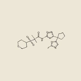 Cc1ncc(C2(c3cc(NC(=O)C(C)(C)S(=O)(=O)C4CCOCC4)on3)CCCC2)o1